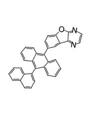 c1ccc2c(-c3c4ccccc4c(-c4ccc5oc6nccnc6c5c4)c4ccccc34)cccc2c1